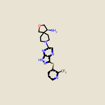 N[C@@H]1COCC12CCN(c1cnc3c(Sc4cccnc4C(F)(F)F)n[nH]c3n1)CC2